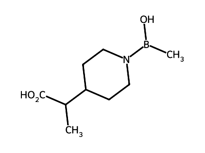 CB(O)N1CCC(C(C)C(=O)O)CC1